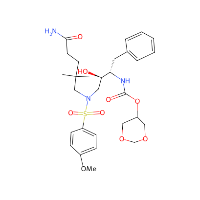 COc1ccc(S(=O)(=O)N(C[C@@H](O)[C@H](Cc2ccccc2)NC(=O)OC2COCOC2)CC(C)(C)CCC(N)=O)cc1